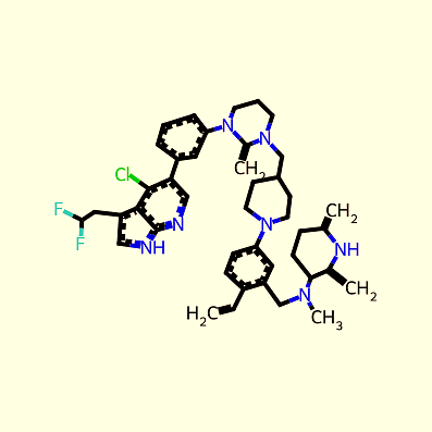 C=Cc1ccc(N2CCC(CN3CCCN(c4cccc(-c5cnc6[nH]cc(CC(F)F)c6c5Cl)c4)C3=C)CC2)cc1CN(C)C1CCC(=C)NC1=C